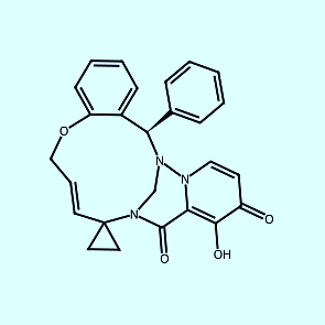 O=C1c2c(O)c(=O)ccn2N2CN1C1(/C=C/COc3ccccc3[C@H]2c2ccccc2)CC1